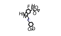 O=C(Nc1cc2c(/C=C/c3ccc4c(c3)OCO4)n[nH]c2cc1F)C1(O)CC1